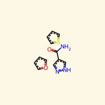 NC(=O)c1cn[nH]c1.c1ccoc1.c1ccsc1